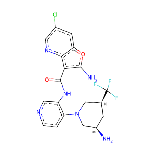 Nc1oc2cc(Cl)cnc2c1C(=O)Nc1cnccc1N1C[C@H](N)C[C@H](C(F)(F)F)C1